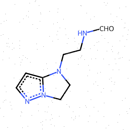 O=CNCCN1CCn2nccc21